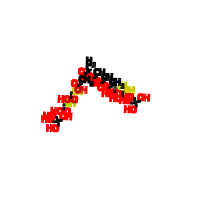 C=CC(=O)O.C=CC(=O)O.C=CC(=O)O.C=CC(=O)O.C=CC(=O)O.O=C(O)CS.O=C(O)CS.O=C(O)CS.O=C(O)CS.OCC(CO)(CO)CO.OCC(CO)(CO)CO